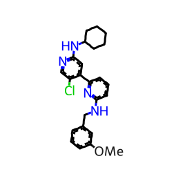 COc1cccc(CNc2cccc(-c3cc(NC4CCCCC4)ncc3Cl)n2)c1